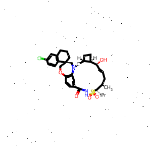 CC(C)[C@H]1[C@H](C)C/C=C/[C@H](O)[C@@H]2CC[C@H]2CN2C[C@@]3(CCCc4cc(Cl)ccc43)COc3ccc(cc32)C(=O)NS1(=O)=O